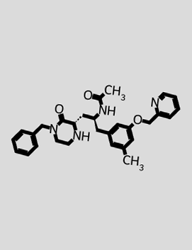 CC(=O)N[C@@H](Cc1cc(C)cc(OCc2ccccn2)c1)C[C@@H]1NCCN(Cc2ccccc2)C1=O